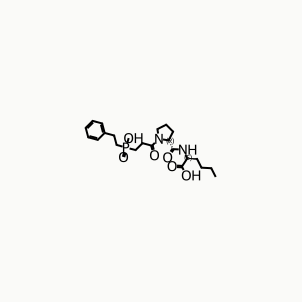 CCCC[C@H](NC(=O)[C@H]1CCCN1C(=O)CCP(=O)(O)CCc1ccccc1)C(=O)O